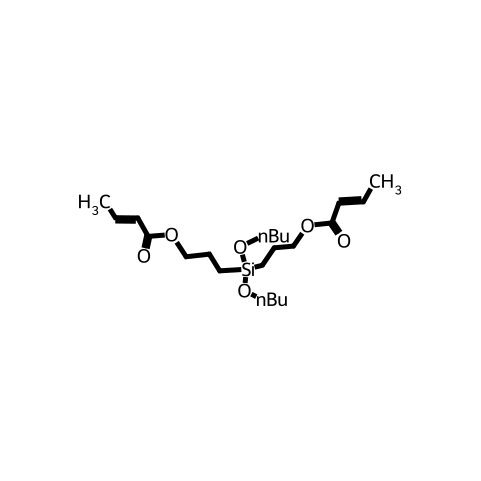 CC=CC(=O)OCCC[Si](CCCOC(=O)C=CC)(OCCCC)OCCCC